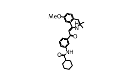 COc1ccc2c(c1)C(=CC(=O)c1cccc(NC(=O)C3CCCCC3)c1)NC(C)(C)C2